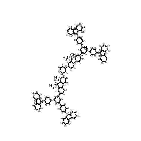 CC1(C)c2cc(-c3cccc(-c4ccc5c(c4)C(C)(C)c4cc(-c6cc(-c7ccc(-n8c9ccccc9c9ccccc98)cc7)nc(-c7ccc(-n8c9ccccc9c9ccccc98)cc7)c6)ccc4-5)c3)ccc2-c2ccc(-c3cc(-c4ccc(-n5c6c(c7ccccc75)CCC=C6)cc4)nc(-c4ccc(-n5c6ccccc6c6ccccc65)cc4)c3)cc21